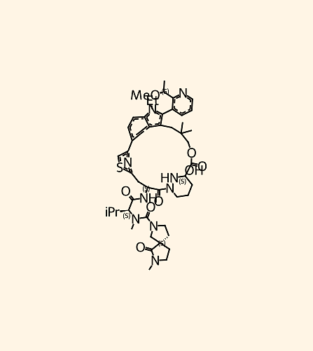 CCn1c(-c2cccnc2[C@H](C)OC)c2c3cc(ccc31)-c1csc(n1)C[C@H](NC(=O)[C@H](C(C)C)N(C)C(=O)N1CC[C@@]3(CCN(C)C3=O)C1)C(=O)N1CCC[C@@](O)(N1)C(=O)OCC(C)(C)C2